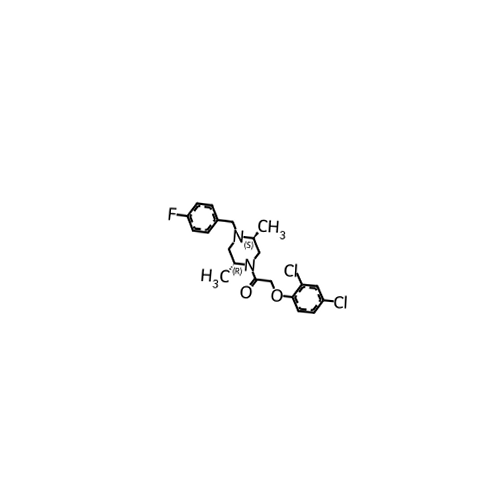 C[C@@H]1CN(Cc2ccc(F)cc2)[C@@H](C)CN1C(=O)COc1ccc(Cl)cc1Cl